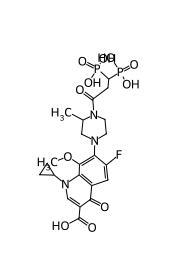 COc1c(N2CCN(C(=O)CC(P(=O)(O)O)P(=O)(O)O)C(C)C2)c(F)cc2c(=O)c(C(=O)O)cn(C3CC3)c12